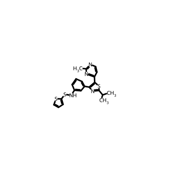 Cc1nccc(-c2sc(C(C)C)nc2-c2cccc(NSc3cccs3)c2)n1